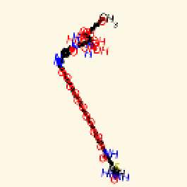 COCCCCCCO[C@]1(C(=O)O)C[C@H](O)[C@@H](NC(=O)CO)[C@H]([C@H](O)[C@H](O)CNC(=O)Cc2ccc(-c3cn(CCOCCOCCOCCOCCOCCOCCOCCOCCOCCOCCOCCNC(=O)CCCC[C@@H]4SC[C@@H]5NC(=O)N[C@@H]54)nn3)cc2)O1